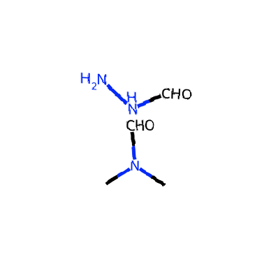 CN(C)C=O.NNC=O